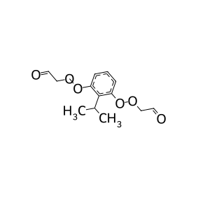 CC(C)c1c(OOCC=O)cccc1OOCC=O